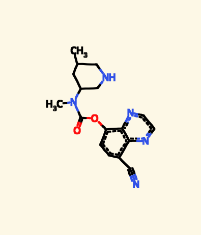 CC1CNCC(N(C)C(=O)Oc2ccc(C#N)c3nccnc23)C1